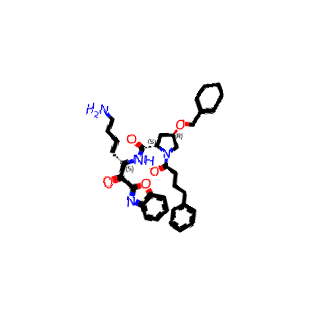 NCCCC[C@H](NC(=O)[C@@H]1C[C@@H](OCC2CCCCC2)CN1C(=O)CCCc1ccccc1)C(=O)c1nc2ccccc2o1